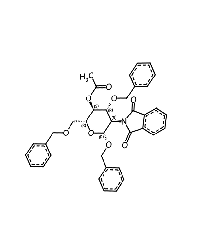 CC(=O)O[C@H]1[C@H](OCc2ccccc2)[C@@H](N2C(=O)c3ccccc3C2=O)[C@H](OCc2ccccc2)O[C@@H]1COCc1ccccc1